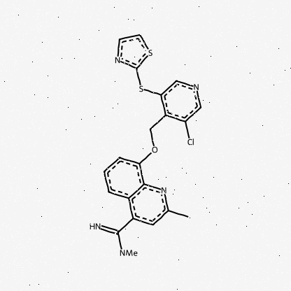 CNC(=N)c1cc(C)nc2c(OCc3c(Cl)cncc3Sc3nccs3)cccc12